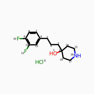 Cl.OC1(CCCc2ccc(F)c(F)c2)CCNCC1